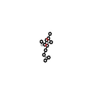 c1ccc(-c2cccc(-c3ccccc3N(c3ccc(-c4ccc(-c5cccc(-n6c7ccccc7c7ccccc76)c5)cc4)cc3)c3ccccc3-c3cccc4oc5ccccc5c34)c2)cc1